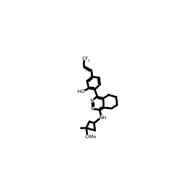 COC1(C)CC(Nc2nnc(-c3ccc(/C=C/C(F)(F)F)cc3O)c3c2CCCC3)C1